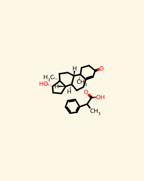 CC(C(=O)O)c1ccccc1.C[C@]12CC[C@H]3[C@@H](CCC4=CC(=O)CC[C@@]43C)[C@@H]1CC[C@@H]2O